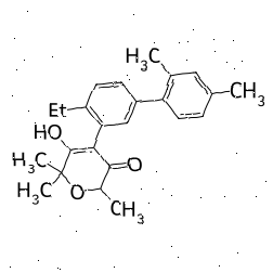 CCc1ccc(-c2ccc(C)cc2C)cc1C1=C(O)C(C)(C)OC(C)C1=O